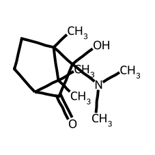 CN(C)C1(O)C(=O)C2CCC1(C)C2(C)C